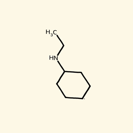 CCNC1CC[CH]CC1